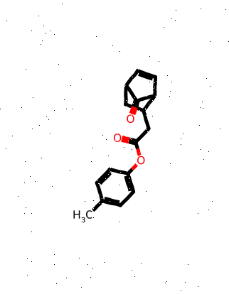 Cc1ccc(OC(=O)CC2CC3C=CC2C3=O)cc1